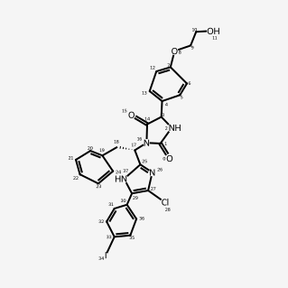 O=C1NC(c2ccc(OCCO)cc2)C(=O)N1[C@@H](Cc1ccccc1)c1nc(Cl)c(-c2ccc(I)cc2)[nH]1